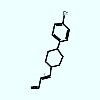 C=C/C=C/C1CCC(c2ccc(CC)cc2)CC1